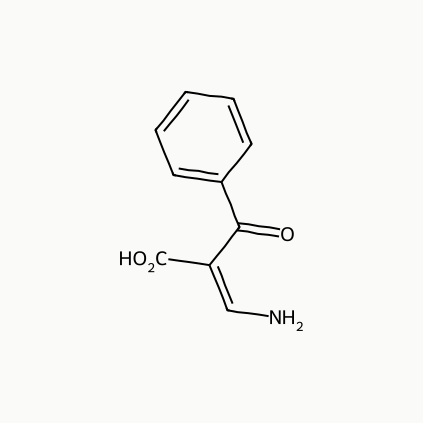 N/C=C(/C(=O)O)C(=O)c1ccccc1